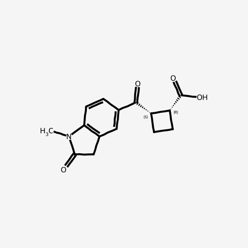 CN1C(=O)Cc2cc(C(=O)[C@H]3CC[C@H]3C(=O)O)ccc21